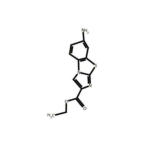 CCOC(=O)c1cn2c(n1)sc1cc(N)ccc12